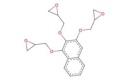 c1ccc2c(OCC3CO3)c(OCC3CO3)c(OCC3CO3)cc2c1